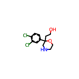 OCCC1(c2ccc(Cl)c(Cl)c2)CNCCO1